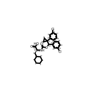 O=C(N[C@@H](CC1CCCCC1)C(=O)O)OC(c1cccc(Cl)c1)C1(c2cccc(Cl)c2)CC1